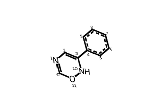 C1=NC=C(c2ccccc2)NO1